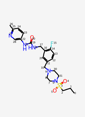 CCCS(=O)(=O)N1CCN(Cc2ccc(F)c(CNC(=O)Nc3ccc(C)nc3)c2)CC1